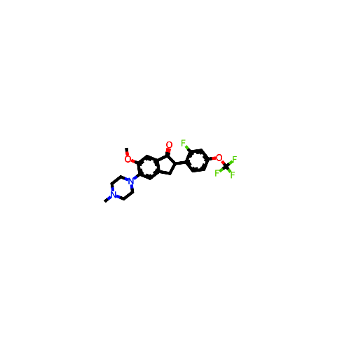 COc1cc2c(cc1N1CCN(C)CC1)CC(c1ccc(OC(F)(F)F)cc1F)C2=O